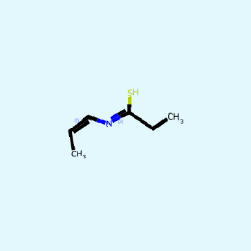 C/C=C\N=C(/S)CC